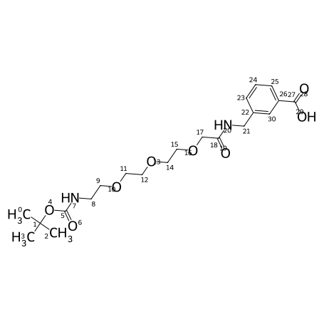 CC(C)(C)OC(=O)NCCOCCOCCOCC(=O)NCc1cccc(C(=O)O)c1